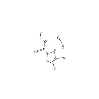 CCOC(=O)C1CC(C)=C(C)C1.[Li][Cl]